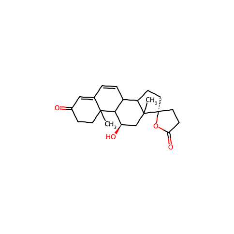 CC12CCC(=O)C=C1C=CC1C2[C@H](O)CC2(C)C1CC[C@@]21CCC(=O)O1